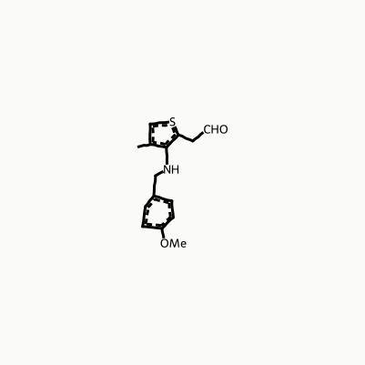 COc1ccc(CNc2c(C)csc2CC=O)cc1